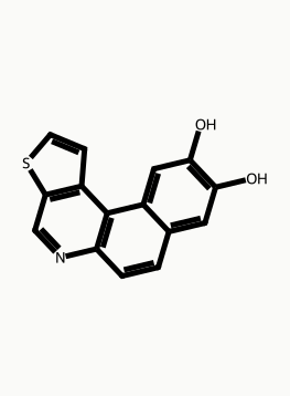 Oc1cc2ccc3ncc4sccc4c3c2cc1O